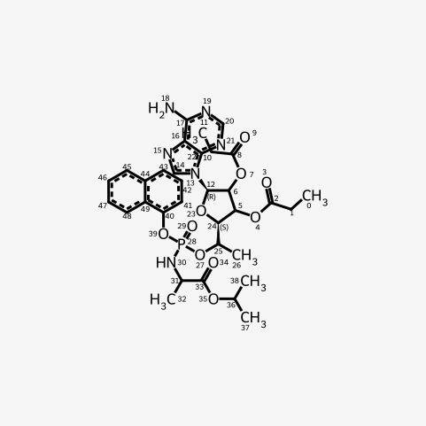 CCC(=O)OC1C(OC(=O)CC)[C@H](n2cnc3c(N)ncnc32)O[C@@H]1C(C)OP(=O)(NC(C)C(=O)OC(C)C)Oc1cccc2ccccc12